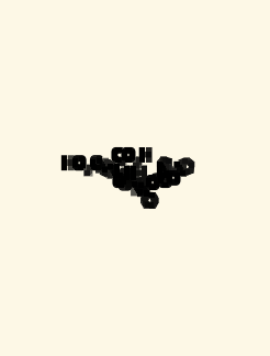 O=C(O)CC[C@H](NC(=O)c1cc(OCC(=O)N2CCC[C@H]2C(=O)N2CCCCC2)n(-c2ccccc2)n1)C(=O)N1CCN(C(=O)O)CC1